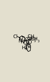 CN(c1ccc(Cl)nn1)[C@H]1CC2CC[C@H](C1)N2C(=O)OC(C)(C)C